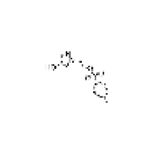 Cc1ccc(S(=O)(=O)OCCn2cc(O)cn2)cc1